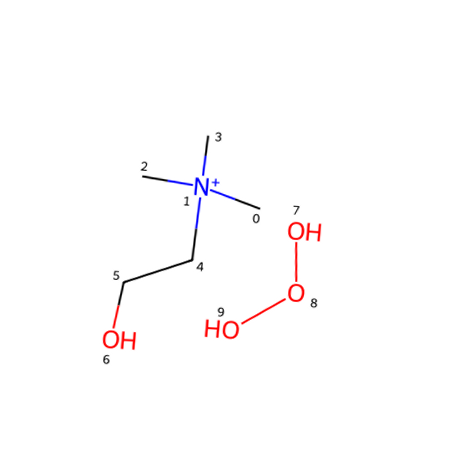 C[N+](C)(C)CCO.OOO